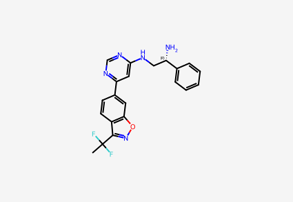 CC(F)(F)c1noc2cc(-c3cc(NC[C@H](N)c4ccccc4)ncn3)ccc12